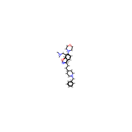 CN(C)Cc1c(N2CCOCC2)ccc2c(CCC3CCN(Cc4ccccc4)CC3)noc12